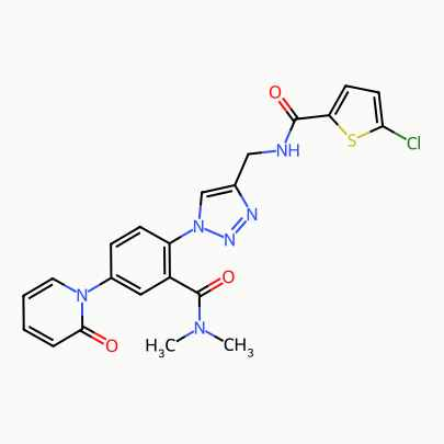 CN(C)C(=O)c1cc(-n2ccccc2=O)ccc1-n1cc(CNC(=O)c2ccc(Cl)s2)nn1